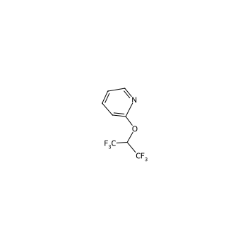 FC(F)(F)C(Oc1ccccn1)C(F)(F)F